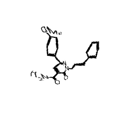 COc1ccc(-c2cc(C(N)=O)c(=O)n(CC=Cc3ccccc3)n2)cc1